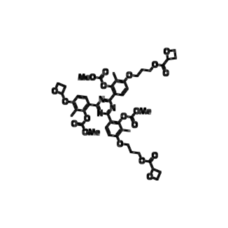 COC(=O)Oc1c(-c2nc(-c3ccc(OCCCOC(=O)C4CCO4)c(C)c3OC(=O)OC)nc(-c3ccc(OC4CCO4)c(C)c3OC(=O)OC)n2)ccc(OCCCOC(=O)C2CCO2)c1C